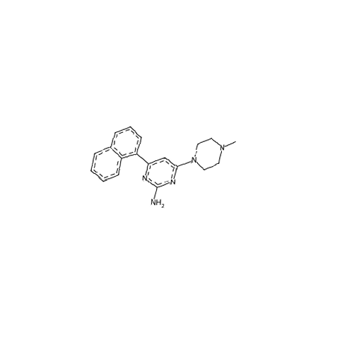 CN1CCN(c2cc(-c3cccc4ccccc34)nc(N)n2)CC1